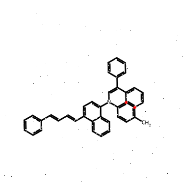 Cc1ccc(N(C=C(c2ccccc2)c2ccccc2)c2ccc(C=CC=Cc3ccccc3)c3ccccc23)cc1